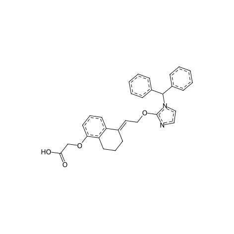 O=C(O)COc1cccc2c1CCCC2=CCOc1nccn1C(c1ccccc1)c1ccccc1